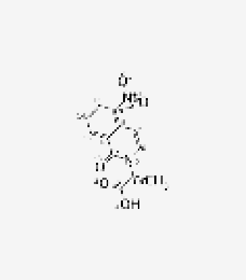 CC(C(=O)O)n1ccc2c([N+](=O)[O-])cccc2c1=O